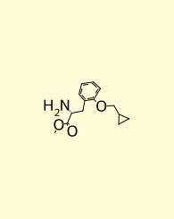 COC(=O)[C@H](N)Cc1ccccc1OCC1CC1